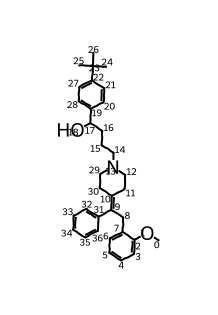 COc1ccccc1CC(=C1CCN(CCCC(O)c2ccc(C(C)(C)C)cc2)CC1)c1ccccc1